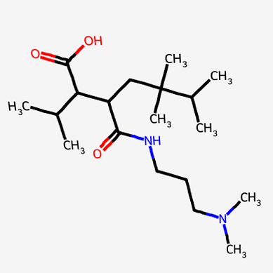 CC(C)C(C(=O)O)C(CC(C)(C)C(C)C)C(=O)NCCCN(C)C